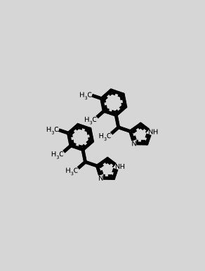 Cc1cccc(C(C)c2c[nH]cn2)c1C.Cc1cccc(C(C)c2c[nH]cn2)c1C